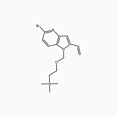 C=Cc1cc2nc(Br)ccc2n1COCC[Si](C)(C)C